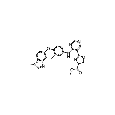 COC(=O)C1COC(c2cncnc2Nc2ccc(Oc3ccc4c(c3)ncn4C)c(C)c2)=N1